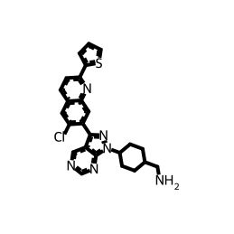 NCC1CCC(n2nc(-c3cc4nc(-c5cccs5)ccc4cc3Cl)c3cncnc32)CC1